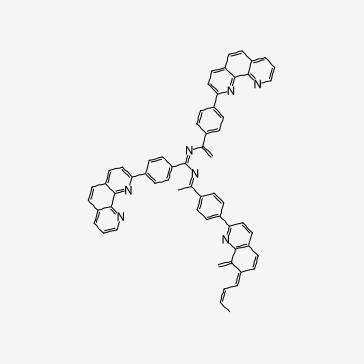 C=C(/N=C(\N=C(/C)c1ccc(-c2ccc3cc/c(=C/C=C\C)c(=C)c3n2)cc1)c1ccc(-c2ccc3ccc4cccnc4c3n2)cc1)c1ccc(-c2ccc3ccc4cccnc4c3n2)cc1